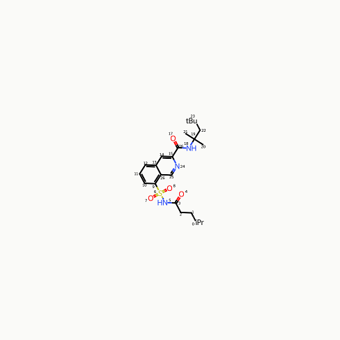 CC(C)CCC(=O)NS(=O)(=O)c1cccc2cc(C(=O)NC(C)(C)CC(C)(C)C)ncc12